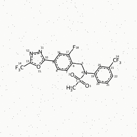 CS(=O)(=O)N(Cc1ccc(-c2nnc(C(F)(F)F)o2)cc1F)c1cccc(C(F)(F)F)c1